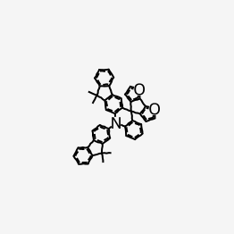 CC1(C)c2ccccc2-c2ccc(N3c4ccccc4C4(c5cc6c(cc53)C(C)(C)c3ccccc3-6)c3ccoc3-c3occc34)cc21